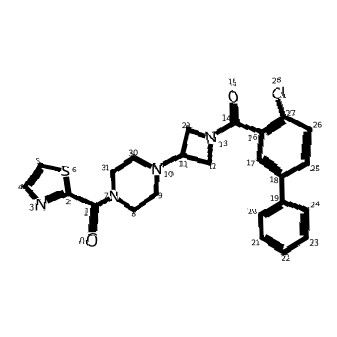 O=C(c1nccs1)N1CCN(C2CN(C(=O)c3cc(-c4ccccc4)ccc3Cl)C2)CC1